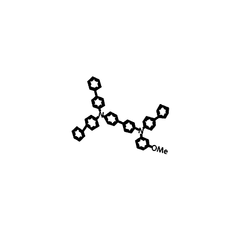 COc1cccc(N(c2ccc(-c3ccccc3)cc2)c2ccc(-c3ccc(N(c4ccc(-c5ccccc5)cc4)c4ccc(-c5ccccc5)cc4)cc3)cc2)c1